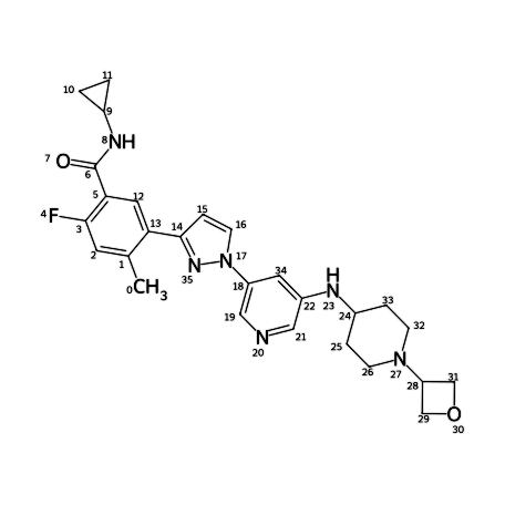 Cc1cc(F)c(C(=O)NC2CC2)cc1-c1ccn(-c2cncc(NC3CCN(C4COC4)CC3)c2)n1